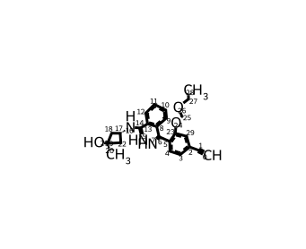 C#Cc1ccc(C(=N)c2ccccc2C(=N)N[C@H]2C[C@@](C)(O)C2)c(OCOCC)c1